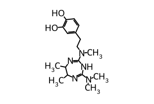 CC1N=C(N(C)C)NC(N(C)CCc2ccc(O)c(O)c2)=NC1C